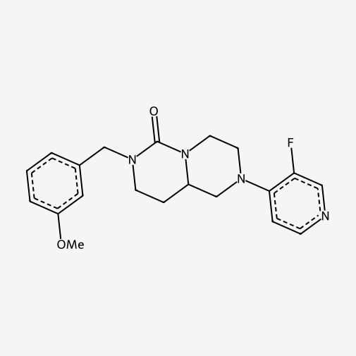 COc1cccc(CN2CCC3CN(c4ccncc4F)CCN3C2=O)c1